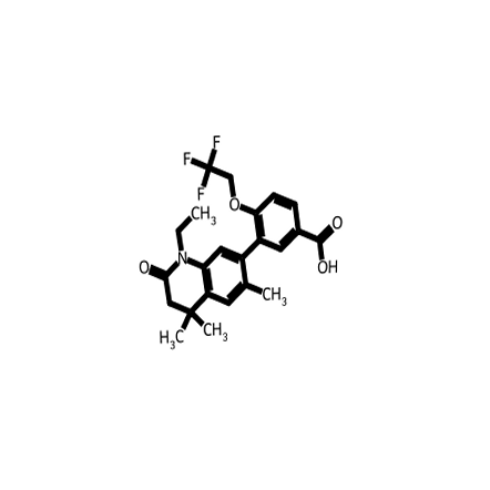 CCN1C(=O)CC(C)(C)c2cc(C)c(-c3cc(C(=O)O)ccc3OCC(F)(F)F)cc21